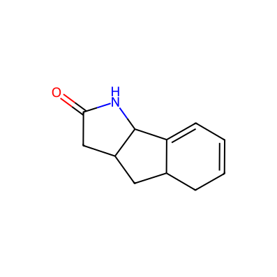 O=C1CC2CC3CC=CC=C3C2N1